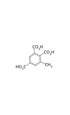 Cc1cc(C(=O)O)cc(C(=O)O)c1C(=O)O